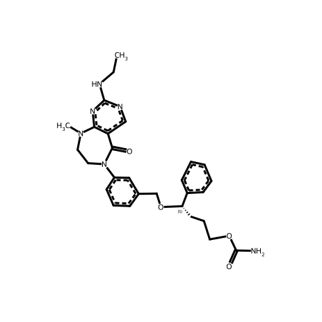 CCNc1ncc2c(n1)N(C)CCN(c1cccc(CO[C@@H](CCCOC(N)=O)c3ccccc3)c1)C2=O